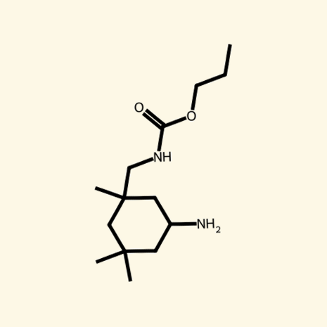 CCCOC(=O)NCC1(C)CC(N)CC(C)(C)C1